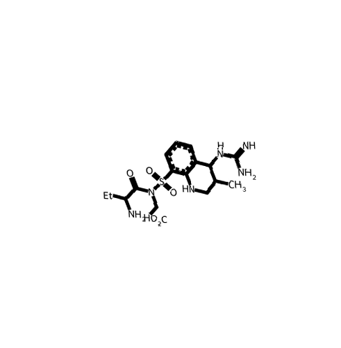 CCC(N)C(=O)N(CC(=O)O)S(=O)(=O)c1cccc2c1NCC(C)C2NC(=N)N